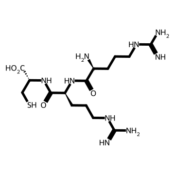 N=C(N)NCCC[C@H](NC(=O)[C@@H](N)CCCNC(=N)N)C(=O)N[C@H](CS)C(=O)O